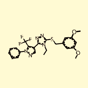 CCn1c(SCc2cc(OC)cc(OC)c2)nnc1-c1cnn(-c2ccccc2)c1C(F)(F)F